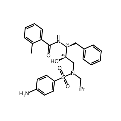 Cc1ccccc1C(=O)N[C@@H](Cc1ccccc1)[C@H](O)CN(CC(C)C)S(=O)(=O)c1ccc(N)cc1